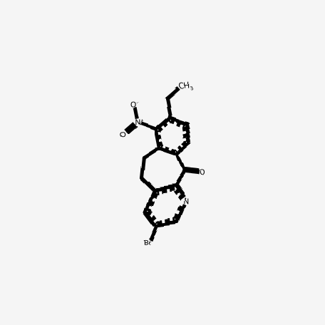 CCc1ccc2c(c1[N+](=O)[O-])CCc1cc(Br)cnc1C2=O